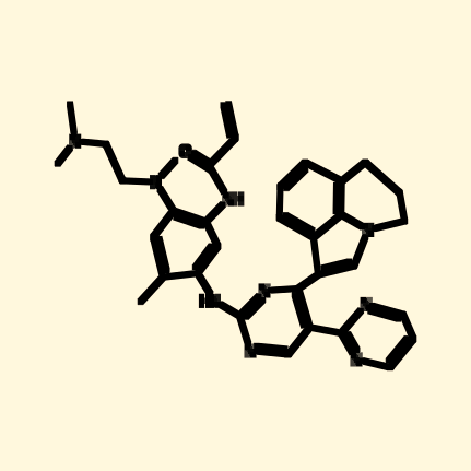 C=CC(=O)Nc1cc(Nc2ncc(-c3ncccn3)c(-c3cn4c5c(cccc35)CCC4)n2)c(C)cc1N(C)CCN(C)C